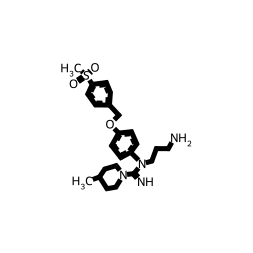 CC1CCN(C(=N)N(CCCN)c2ccc(OCc3ccc(S(C)(=O)=O)cc3)cc2)CC1